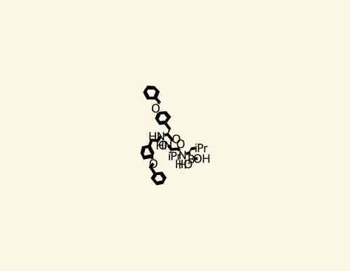 CC(C)C[C@H](NC(=O)[C@@H](NC(=O)[C@H](Cc1ccc(OCc2ccccc2)cc1)NC(=O)Cc1cccc(OCc2ccccc2)c1)C(C)C)B(O)O